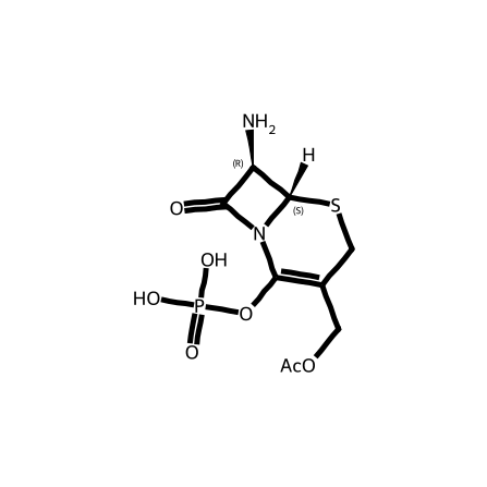 CC(=O)OCC1=C(OP(=O)(O)O)N2C(=O)[C@@H](N)[C@@H]2SC1